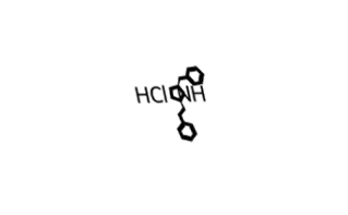 Cl.c1ccc(CC[C@H]2CC[C@@H](Cc3ccccc3)N2)cc1